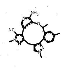 Cc1ccc2c(c1)C(C)Oc1cc(cnc1N)-c1c(nn(C)c1C#N)Cc1cn(C)nc1-2